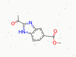 COC(=O)c1ccc2[nH]c(C(C)=O)nc2c1